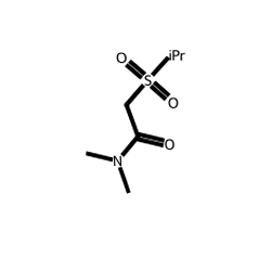 CC(C)S(=O)(=O)CC(=O)N(C)C